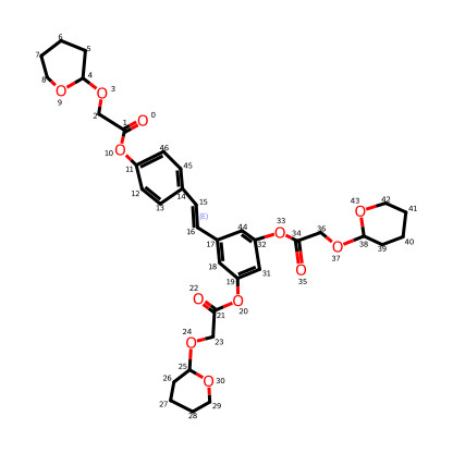 O=C(COC1CCCCO1)Oc1ccc(/C=C/c2cc(OC(=O)COC3CCCCO3)cc(OC(=O)COC3CCCCO3)c2)cc1